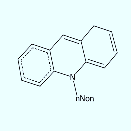 CCCCCCCCCN1C2=CC=CCC2=Cc2ccccc21